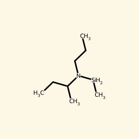 CCCN([SiH2]C)C(C)CC